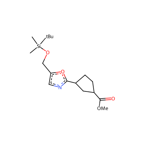 COC(=O)C1CCC(c2ncc(CO[Si](C)(C)C(C)(C)C)o2)C1